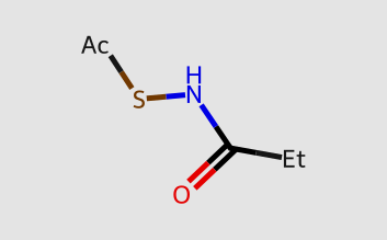 CCC(=O)NSC(C)=O